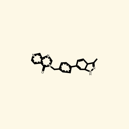 CC1=NNC2C=C(c3ccc(Cn4cnc5cnccc5c4=O)cc3)C=CC12